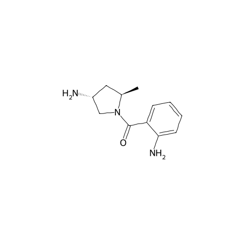 C[C@@H]1C[C@@H](N)CN1C(=O)c1ccccc1N